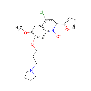 COc1cc2c(Cl)cc(-c3ccco3)[n+]([O-])c2cc1OCCCN1CCCC1